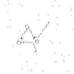 CCCCCCCCC1CC(CCCCCCC(=O)C[C@@H]2CCCC[C@@H]2NC(=O)CCCCCCCCCCC(O)CCCCCC)C(CCCCCCC(=O)N[C@H]2CCCC[C@H]2NC(=O)CCCCCCCCCCC(O)CCCCCC)CC1CCCCCCCC